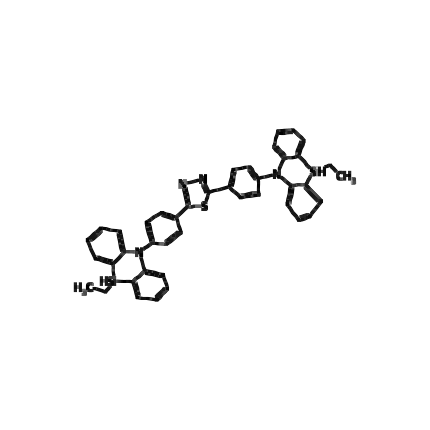 CC[SiH]1c2ccccc2N(c2ccc(-c3nnc(-c4ccc(N5c6ccccc6[SiH](CC)c6ccccc65)cc4)s3)cc2)c2ccccc21